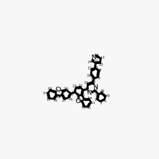 c1ccc(-c2nc(-c3ccc(-c4cccnc4)cc3)cc(-c3ccc(-c4ccc5c(c4)oc4ccccc45)c4oc5ccccc5c34)n2)cc1